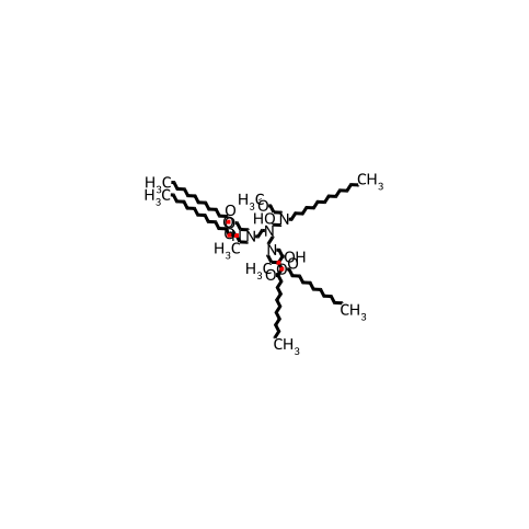 CCCCCCCCCCCCCCN(CCN(CCN(CC(C)COC(=O)CCCCCCCCCCC)CC(O)CCC(=O)CCCCCCCCCCC)CCN(CC(C)CCC(=O)CCCCCCCCCCC)CC(COC(=O)CCCCCCCCCCC)N=O)CC(O)COC